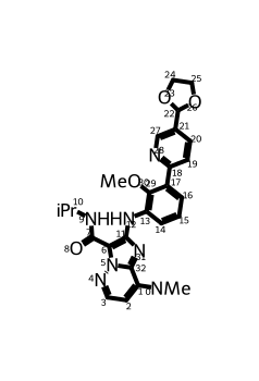 CNc1ccnn2c(C(=O)NC(C)C)c(Nc3cccc(-c4ccc(C5OCCO5)cn4)c3OC)nc12